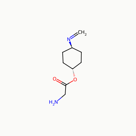 C=N[C@H]1CC[C@H](OC(=O)CN)CC1